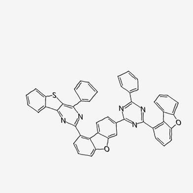 c1ccc(-c2nc(-c3ccc4c(c3)oc3cccc(-c5nc(-c6ccccc6)c6sc7ccccc7c6n5)c34)nc(-c3cccc4oc5ccccc5c34)n2)cc1